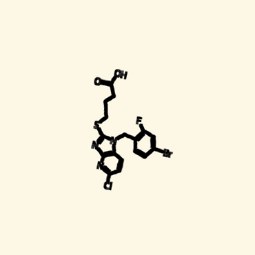 O=C(O)CCCSc1nc2nc(Cl)ccc2n1Cc1ccc(Br)cc1F